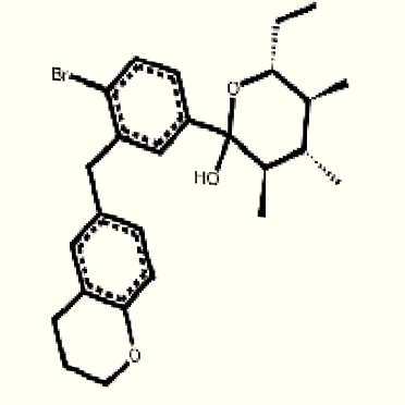 CC[C@H]1OC(O)(c2ccc(Br)c(Cc3ccc4c(c3)CCCO4)c2)[C@H](C)[C@@H](C)[C@@H]1C